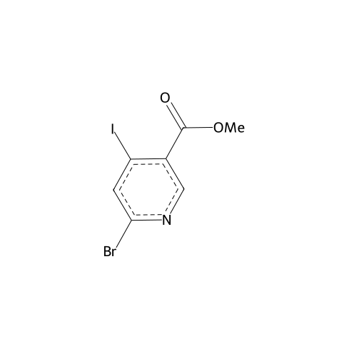 COC(=O)c1cnc(Br)cc1I